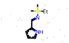 CCS(C)(C)/N=C/c1ccc[nH]1